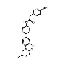 CC(=O)N(CC(F)F)c1ccc(-c2ccc(NC(=O)Cc3ccc(C#N)nc3)cn2)cc1Cl